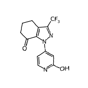 O=C1CCCc2c(C(F)(F)F)nn(-c3ccnc(O)c3)c21